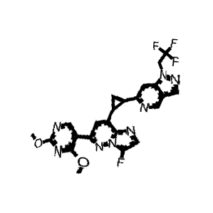 COc1ncc(-c2cc(C3CC3c3cc4c(cn3)cnn4CC(F)(F)F)c3ncc(F)n3n2)c(OC)n1